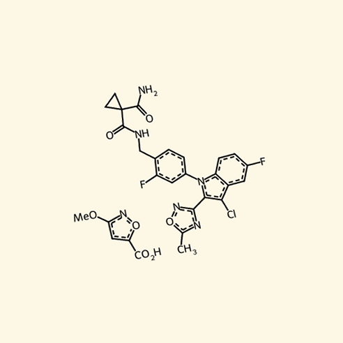 COc1cc(C(=O)O)on1.Cc1nc(-c2c(Cl)c3cc(F)ccc3n2-c2ccc(CNC(=O)C3(C(N)=O)CC3)c(F)c2)no1